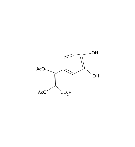 CC(=O)OC(C(=O)O)=C(OC(C)=O)c1ccc(O)c(O)c1